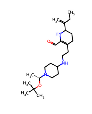 C=C(CC)C1CCC(CCNC2CCN([C@@H](C)OC(C)(C)C)CC2)=C(C=O)N1